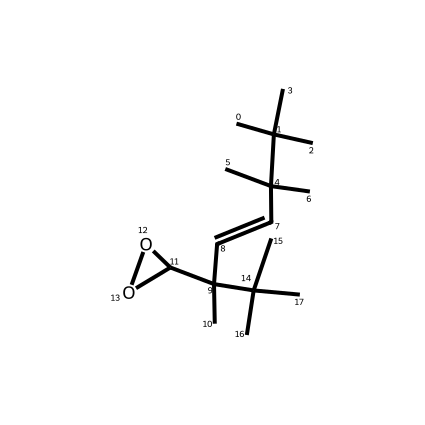 CC(C)(C)C(C)(C)C=CC(C)(C1OO1)C(C)(C)C